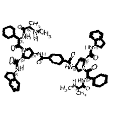 CN[C@@H](C)C(=O)N[C@H](C(=O)N1C[C@@H](NC(=O)C2CCC(C(=O)N[C@H]3C[C@@H](C(=O)N[C@@H]4CCc5ccccc54)N(C(=O)[C@@H](NC(=O)[C@H](C)NC)C4CCCCC4)C3)CC2)C[C@H]1C(=O)N[C@@H]1CCc2ccccc21)C1CCCCC1